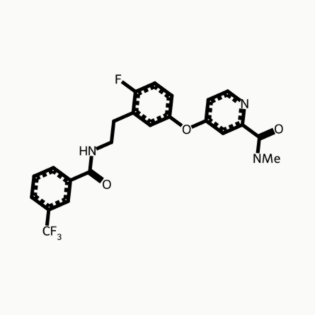 CNC(=O)c1cc(Oc2ccc(F)c(CCNC(=O)c3cccc(C(F)(F)F)c3)c2)ccn1